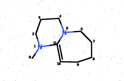 CN1CCCN2CCCCC=C12